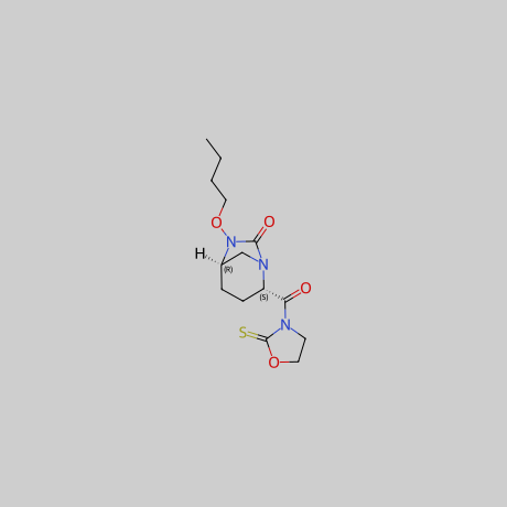 CCCCON1C(=O)N2C[C@H]1CC[C@H]2C(=O)N1CCOC1=S